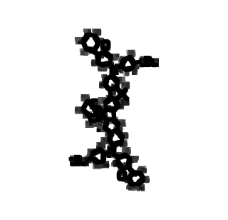 CC(C)(C)c1ccc(N(c2ccc3c(c2)C(C)(C)c2cc4c(cc2-3)C2(c3cc5cc(N(c6ccc(C(C)(C)C)cc6)c6ccc7c(c6)oc6ccccc67)ccc5cc3-4)C3CC4CC(C3)CC2C4)c2ccc3c(c2)oc2ccccc23)cc1